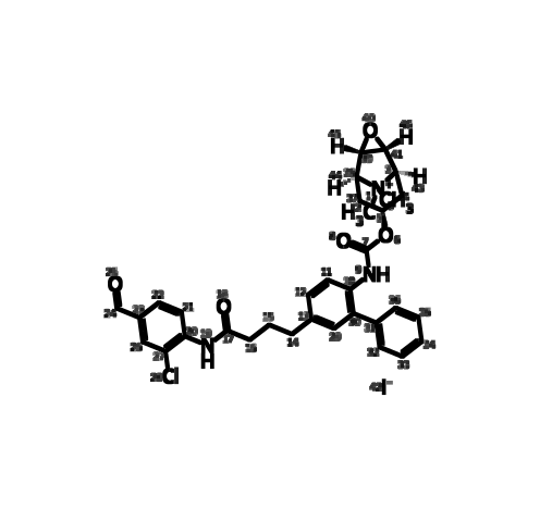 C[N+]1(C)[C@@H]2C[C@@H](OC(=O)Nc3ccc(CCCC(=O)Nc4ccc(C=O)cc4Cl)cc3-c3ccccc3)C[C@H]1[C@@H]1O[C@@H]12.[I-]